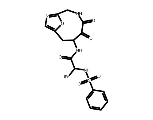 CC(C)C(NS(=O)(=O)c1ccccc1)C(=O)NC1Cc2cnc(o2)CNC(=O)C1=O